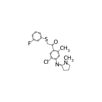 Cc1cc(N=C2CCCN2C)c(Cl)cc1C(=O)CSc1cccc(F)c1